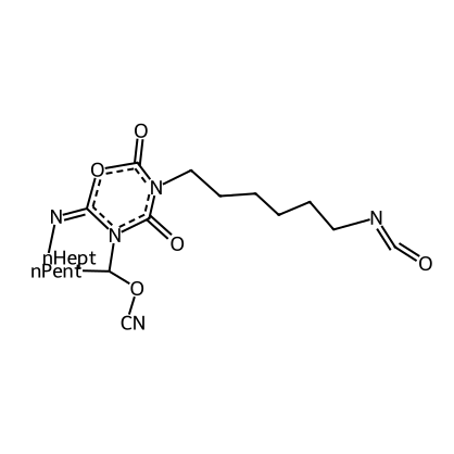 CCCCCCC/N=c1/oc(=O)n(CCCCCCN=C=O)c(=O)n1C(CCCCC)OC#N